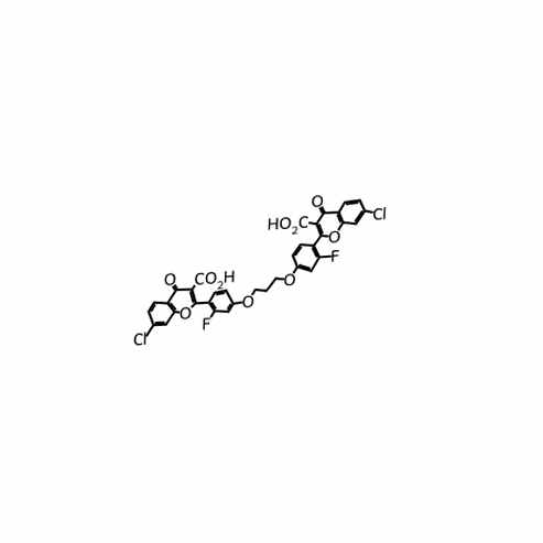 O=C(O)c1c(-c2ccc(OCCCOc3ccc(-c4oc5cc(Cl)ccc5c(=O)c4C(=O)O)c(F)c3)cc2F)oc2cc(Cl)ccc2c1=O